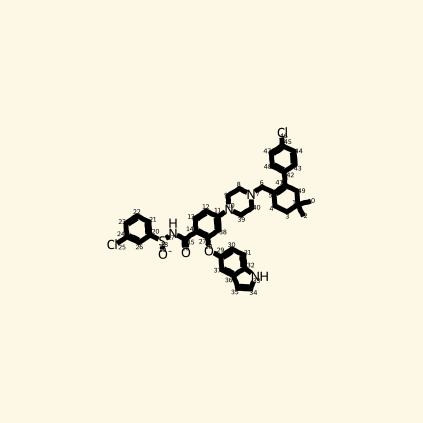 CC1(C)CCC(CN2CCN(c3ccc(C(=O)N[S+]([O-])c4cccc(Cl)c4)c(Oc4ccc5[nH]ccc5c4)c3)CC2)=C(c2ccc(Cl)cc2)C1